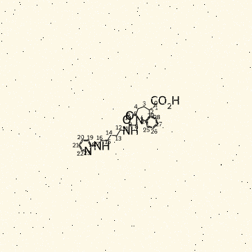 O=C(O)CC1CCC(=O)N(CC(=O)NCCCCCNc2ccccn2)c2ccccc21